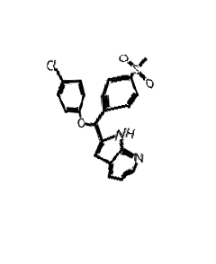 CS(=O)(=O)c1ccc(C(Oc2ccc(Cl)cc2)c2cc3cccnc3[nH]2)cc1